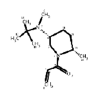 C=CC(=O)N1C[C@H](N(C)C(C)(C)C)CC[C@@H]1C